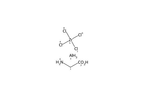 NCC(=O)O.[AlH3].[Cl][Zr]([Cl])([Cl])[Cl]